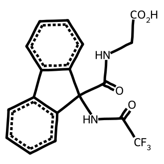 O=C(O)CNC(=O)C1(NC(=O)C(F)(F)F)c2ccccc2-c2ccccc21